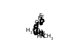 CNc1ncnc(-c2cccnc2Oc2cc(C(=O)n3ccc4ccc(C(F)(F)F)cc43)ccc2C)n1